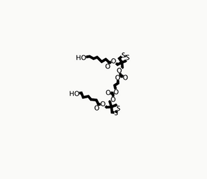 O=C(CCCCCO)OCC1(COC(=O)OCCOC(=O)OCC2(COC(=O)CCCCCO)CSSC2)CSSC1